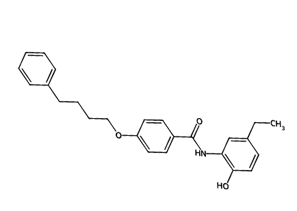 CCc1ccc(O)c(NC(=O)c2ccc(OCCCCc3ccccc3)cc2)c1